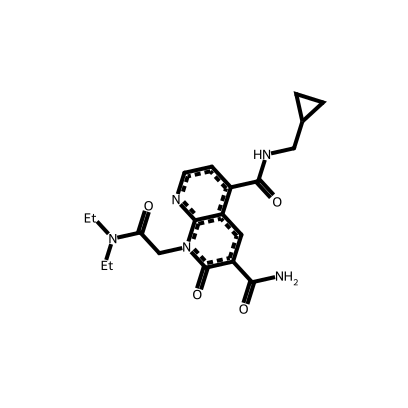 CCN(CC)C(=O)Cn1c(=O)c(C(N)=O)cc2c(C(=O)NCC3CC3)ccnc21